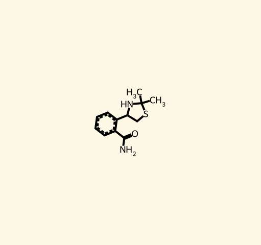 CC1(C)NC(c2ccccc2C(N)=O)CS1